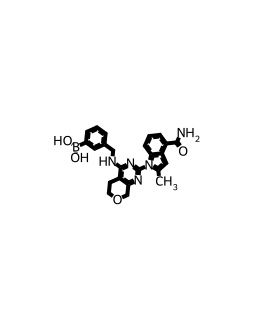 Cc1cc2c(C(N)=O)cccc2n1-c1nc2c(c(NCc3cccc(B(O)O)c3)n1)CCOC2